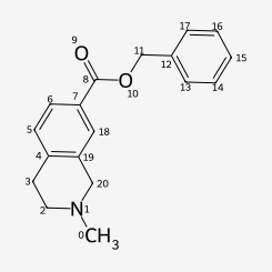 CN1CCc2ccc(C(=O)OCc3ccccc3)cc2C1